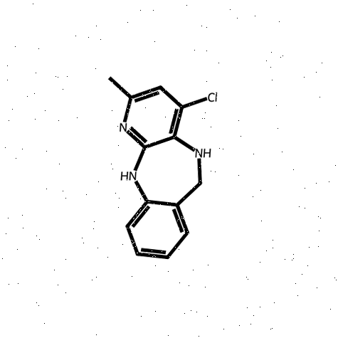 Cc1cc(Cl)c2c(n1)Nc1ccccc1CN2